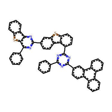 c1ccc(-c2nc(-c3ccc4c5ccccc5c5ccccc5c4c3)nc(-c3cccc4sc5cc(-c6nc(-c7ccccc7)c7sc8ccccc8c7n6)ccc5c34)n2)cc1